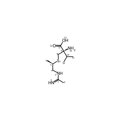 CC(=N)NC[C@@H](C)SC[C@](N)(C(=O)O)C(C)C